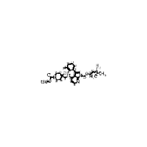 CC1(COc2ccnc3c2c(-c2cccc(F)c2)cn3COCC[Si](C)(C)C)CCN(C(=O)OC(C)(C)C)CC1